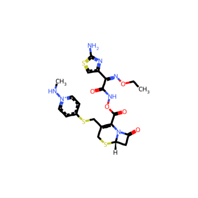 CCO/N=C(\C(=O)NOC(=O)C1=C(CSc2cc[n+](NC)cc2)CS[C@H]2CC(=O)N12)c1csc(N)n1